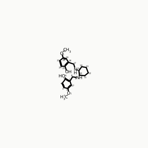 COc1ccc(O)c(CNC2CCCC[C@@H]2NCc2cc(OC)ccc2O)c1